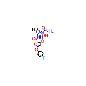 CC(CNC(=O)[C@H]1OC(Oc2ccc(F)cc2)=CC1=O)N(O)C(N)=O